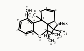 CCCCCCC(C)(C)C12CC=CCC1(C(=O)O)c1c(O)cccc1OC2(C)C